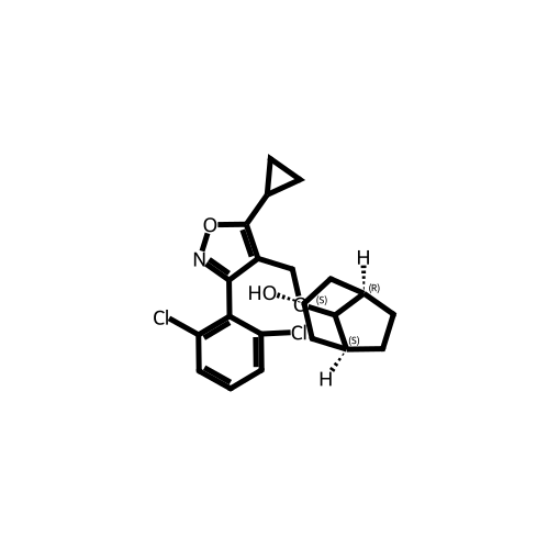 O[C@@H]1C[C@H]2CC[C@@H](C1)C2OCc1c(-c2c(Cl)cccc2Cl)noc1C1CC1